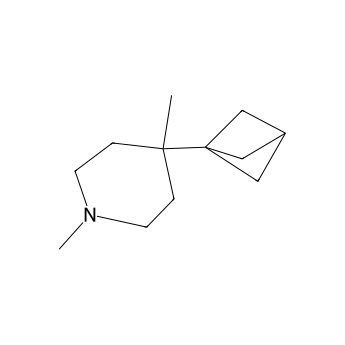 CN1CCC(C)(C23CC(C2)C3)CC1